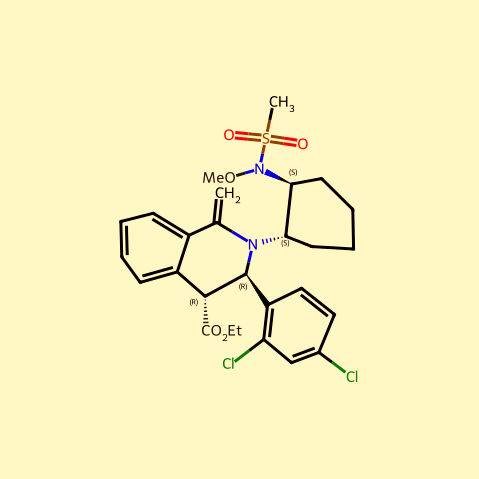 C=C1c2ccccc2[C@@H](C(=O)OCC)[C@H](c2ccc(Cl)cc2Cl)N1[C@H]1CCCC[C@@H]1N(OC)S(C)(=O)=O